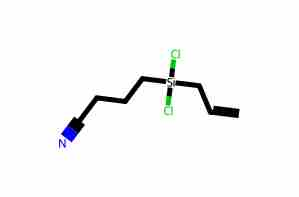 C=CC[Si](Cl)(Cl)CCCC#N